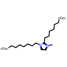 CCCCCCCCCCCCCCCCC[n+]1ccn(C)c1CCCCCCCCCCCCCCCC